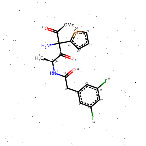 COC(=O)C(N)(C(=O)[C@H](C)NC(=O)Cc1cc(F)cc(F)c1)c1cccs1